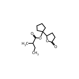 CCC(C)C(=O)OC1(C2CCC(=O)O2)CCCC1